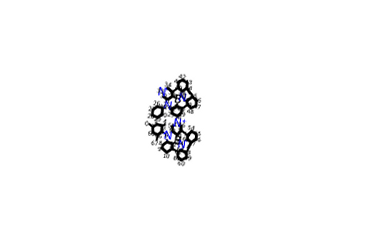 Cc1cc(C)c(N2c3cccc4c3B3c5c(c[n+](-c6cc7c8c(c6)N(c6ccccc6)c6cncc9c6B8n6c8c-9cccc8c8cccc-7c86)cc52)-c2cccc5c6cccc-4c6n3c25)c(C)c1